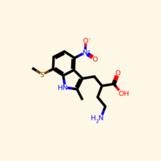 CSc1ccc([N+](=O)[O-])c2c(CC(CCN)C(=O)O)c(C)[nH]c12